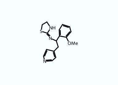 COc1ccccc1C(Cc1ccncc1)/N=C1\NCCS1